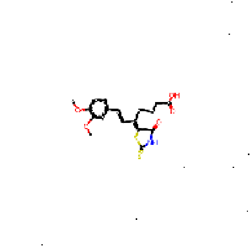 COc1ccc(/C=C/C(CCCC(=O)O)=C2\SC(=S)NC2=O)cc1OC